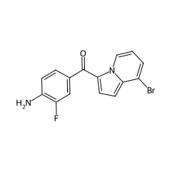 Nc1ccc(C(=O)c2ccc3c(Br)cccn23)cc1F